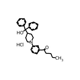 CCCCC(=O)c1cccc(N2CCC(C(O)(c3ccccc3)c3ccccc3)CC2)c1.Cl